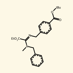 CCOC(=O)C(=NCc1ccc(C(=O)OC(C)(C)C)cc1)N(C)Cc1ccccc1